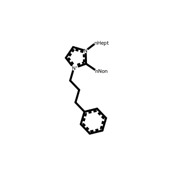 CCCCCCCCCc1n(CCCCCCC)cc[n+]1CCCc1ccccc1